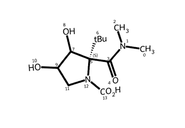 CN(C)C(=O)[C@]1(C(C)(C)C)C(O)C(O)CN1C(=O)O